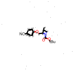 CC1CN(C(=O)OC(C)(C)C)C1COc1ccc(C#N)cc1